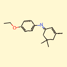 CCOc1ccc(/N=C2/C=C(C)CC(C)(C)C2)cc1